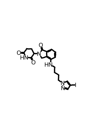 O=C1CCC(N2Cc3c(NCCCCn4cc(I)cn4)cccc3C2=O)C(=O)N1